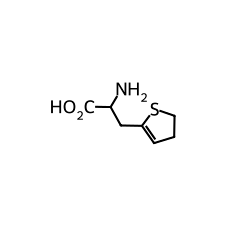 NC(CC1=CCCS1)C(=O)O